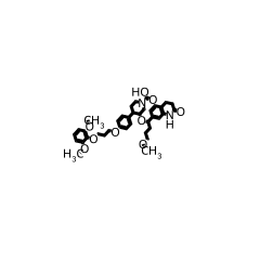 COCCCC(OC1CN(C(=O)O)CCC1c1ccc(OCCCOc2c(OC)cccc2OC)cc1)c1ccc2c(c1)NC(=O)CC2